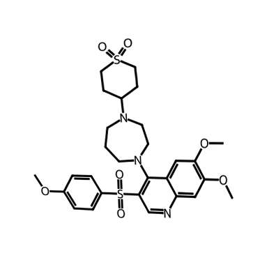 COc1ccc(S(=O)(=O)c2cnc3cc(OC)c(OC)cc3c2N2CCCN(C3CCS(=O)(=O)CC3)CC2)cc1